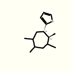 CC1CC(C)[C@H](C)[C@@H](c2cccs2)CC1C